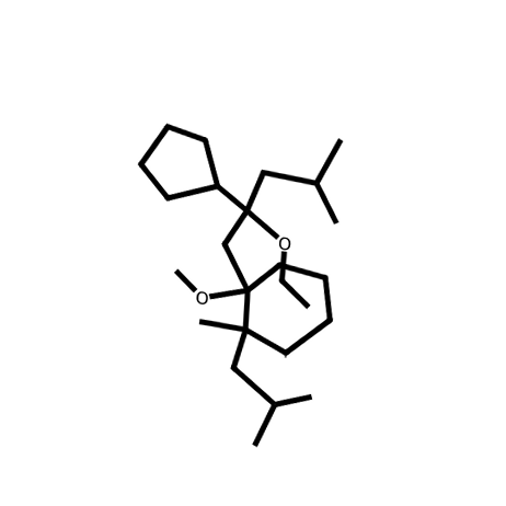 CCOC(CC(C)C)(CC1(OC)CCC[CH]C1(C)CC(C)C)C1CCCC1